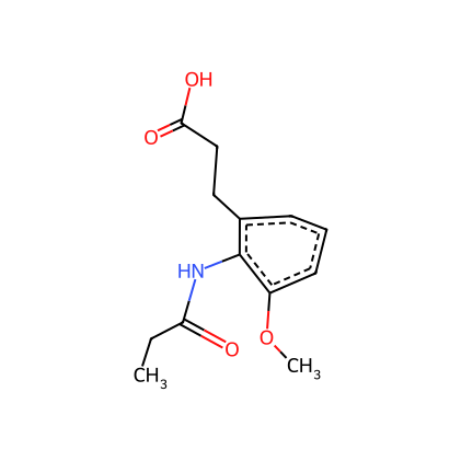 CCC(=O)Nc1c(CCC(=O)O)cccc1OC